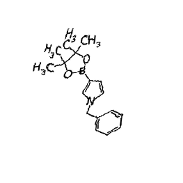 CC1(C)OB(c2ccn(Cc3ccccc3)c2)OC1(C)C